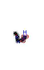 O=C1CCC(N2Cc3cc(-c4cc(CN5CCCC(c6ccccc6)C5)ccn4)ccc3C2=O)C(=O)N1